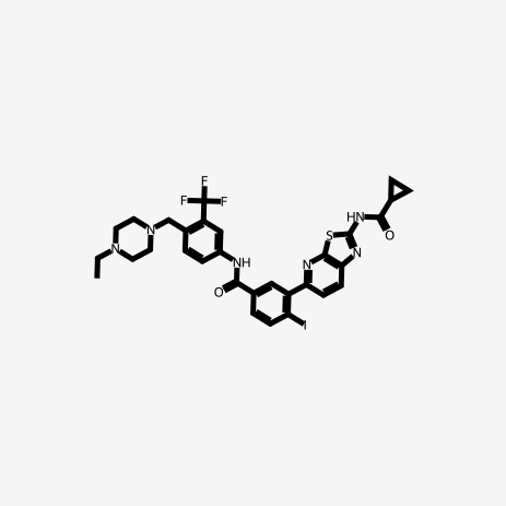 CCN1CCN(Cc2ccc(NC(=O)c3ccc(I)c(-c4ccc5nc(NC(=O)C6CC6)sc5n4)c3)cc2C(F)(F)F)CC1